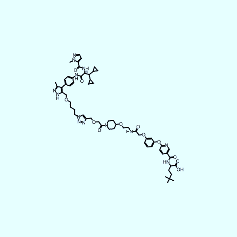 Cc1n[nH]c(COCCCCn2cc(COCC(=O)N3CCC(OCCNC(=O)COc4cccc(Oc5ccc(C(=O)NC(CCC(C)(C)C)C(=O)O)cn5)c4)CC3)nn2)c1-c1ccc(NC(=O)[C@@H](NC(=O)c2ccnn2C)C(C2CC2)C2CC2)cc1